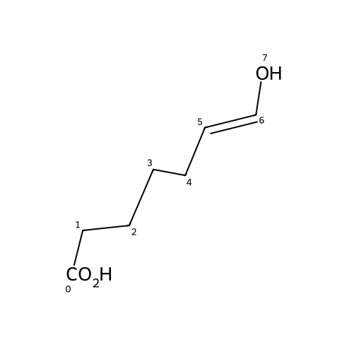 O=C(O)CCCCC=CO